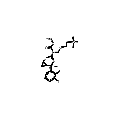 CC(C)(C)OC(=O)N(COCC[Si](C)(C)C)C1=N[C@](C)(c2cccc(F)c2F)C2CC2S1